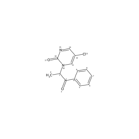 CC(C(=O)c1ccccc1)n1cc(Cl)cnc1=O